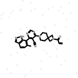 C=CC(=O)N1CC2(CCN(c3ncnc(-c4c(C)ccc5cn[nH]c45)c3C#N)CC2)C1